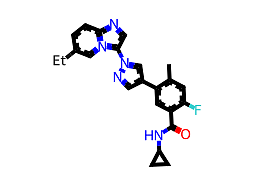 CCc1ccc2ncc(-n3cc(-c4cc(C(=O)NC5CC5)c(F)cc4C)cn3)n2c1